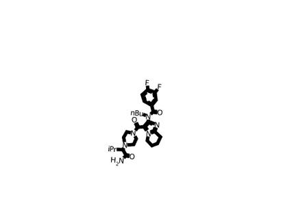 CCCCN(C(=O)c1ccc(F)c(F)c1)c1nc2n(c1C(=O)N1CCN(C(C(N)=O)C(C)C)CC1)CCCC2